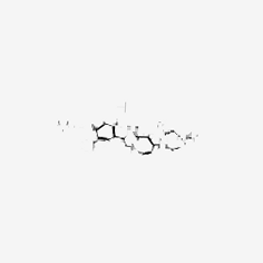 COc1cc(C)c(C2CN3C=CC(N4CCN(S)CC4C)=CC3=N2)cc1Cl